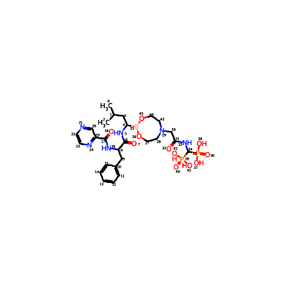 CC(C)CC(NC(=O)C(Cc1ccccc1)NC(=O)c1cnccn1)B1OCCN(CC(=O)NC(P(=O)(O)O)P(=O)(O)O)CCO1